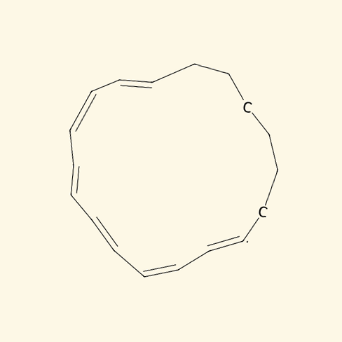 [C]1=C/C=C\C=C\C=C\C=C/C=C/CCCCCC/1